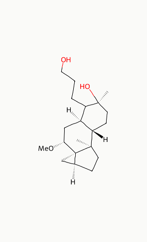 CO[C@@H]1C[C@H]2C(CCCO)[C@@](C)(O)CC[C@@H]2[C@@]2(C)CC[C@H]3C[C@]312